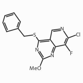 COc1nc(SCc2ccccc2)c2cnc(Cl)c(F)c2n1